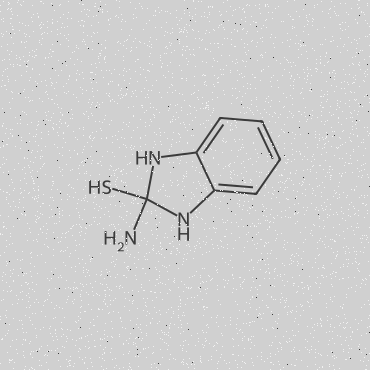 NC1(S)Nc2ccccc2N1